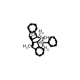 CCC1=Cc2ccccc2[CH]1[Hf]([CH3])([CH3])([CH]1C(CC)=Cc2ccccc21)[SiH](C)c1ccccc1